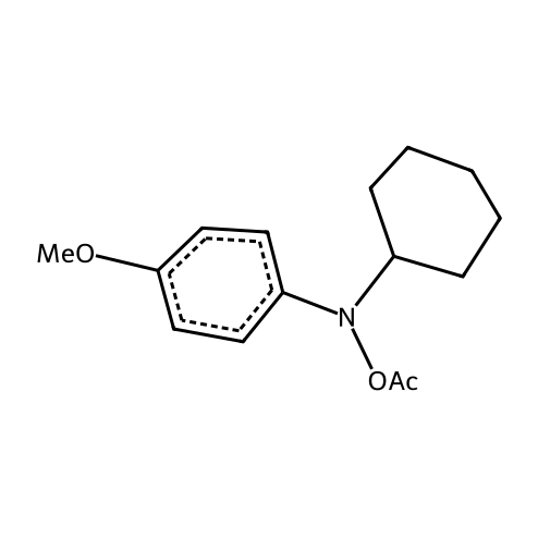 COc1ccc(N(OC(C)=O)C2CCCCC2)cc1